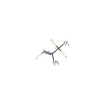 C/C(=C\F)C(F)(F)C(F)(F)F